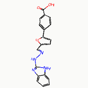 O=C(O)c1ccc(-c2ccc(C=NNc3nc4ccccc4[nH]3)o2)cc1